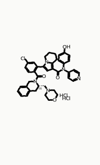 Cl.Cl.O=C(c1cc(-c2cc(Cl)ccc2C(=O)N2Cc3ccccc3C[C@H]2CN2CCOCC2)n2c1CCCC2)N(c1ccncc1)c1ccc(O)cc1